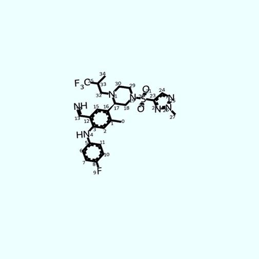 Cc1cc(Nc2ccc(F)cc2)c(C=N)cc1[C@@H]1CN(S(=O)(=O)c2cnn(C)n2)CCN1CC(C)C(F)(F)F